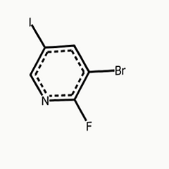 Fc1ncc(I)cc1Br